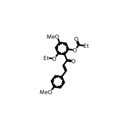 CCOc1cc(OC)cc(OC(=O)CC)c1C(=O)/C=C/c1ccc(OC)cc1